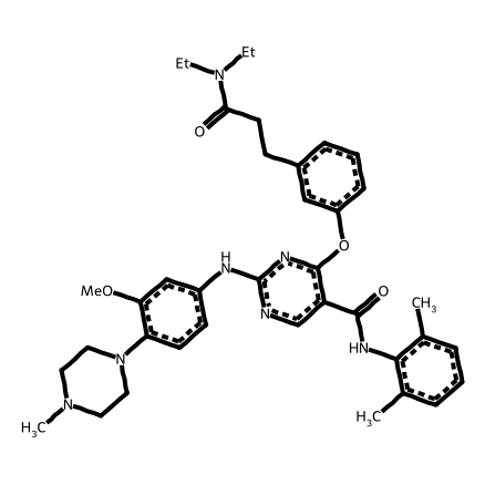 CCN(CC)C(=O)CCc1cccc(Oc2nc(Nc3ccc(N4CCN(C)CC4)c(OC)c3)ncc2C(=O)Nc2c(C)cccc2C)c1